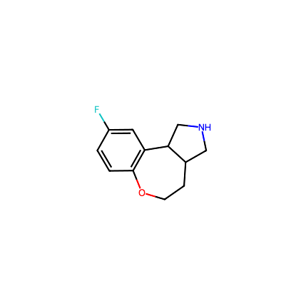 Fc1ccc2c(c1)C1CNCC1CCO2